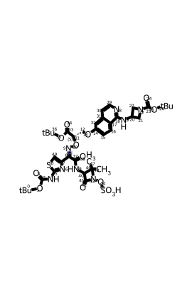 CC(C)(C)OC(=O)Nc1nc(/C(=N/O[C@@H](COc2ccc3c(NC4CN(C(=O)OC(C)(C)C)C4)nccc3c2)C(=O)OC(C)(C)C)C(=O)NC2C(=O)N(OS(=O)(=O)O)C2(C)C)cs1